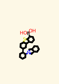 OB(O)c1cccc2c1sc1ccc(-c3ccccc3-n3cc4ccccc4c3)cc12